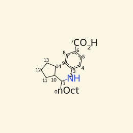 CCCCCCCCC(Nc1ccc(C(=O)O)cc1)C1CCCC1